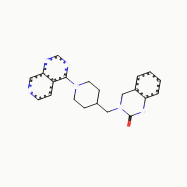 O=C1Nc2ccccc2CN1CC1CCN(c2ncnc3cnccc23)CC1